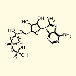 Nc1ncnc2c1nc(N)n2[C@@H]1O[C@H](COP(=O)(O)OP(=O)(O)OP(=O)(O)O)[C@@H](O)[C@H]1O